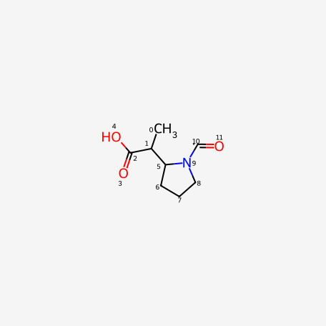 CC(C(=O)O)C1CCCN1[C]=O